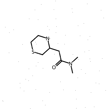 CN(C)C(=O)CC1CSCC[N]1